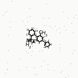 Cc1cc(-c2cccs2)cc(C)c1-c1ccccc1C(N)=O